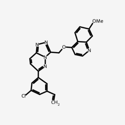 C=Cc1cc(Cl)cc(-c2ccc3nnc(COc4ccnc5cc(OC)ccc45)n3n2)c1